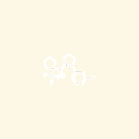 O=C(N1CCCC1c1cccc(F)c1)C1(C(F)(F)F)CCCC1